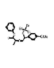 CC[Si](CC)(CC)OC(C=C=C(C)C(=O)Oc1ccccc1)c1ccc(OC)cc1